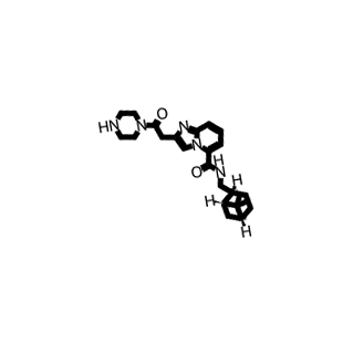 CC1(C)[C@@H]2CC[C@@H](CNC(=O)c3cccc4nc(CC(=O)N5CCNCC5)cn34)[C@@H]1C2